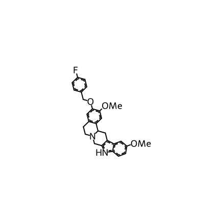 COc1ccc2[nH]c3c(c2c1)CC1c2cc(OC)c(OCc4ccc(F)cc4)cc2CCN1C3